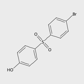 O=S(=O)(c1ccc(O)cc1)c1ccc(Br)cc1